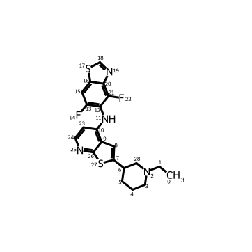 CCN1CCCC(c2cc3c(Nc4c(F)cc5scnc5c4F)ccnc3s2)C1